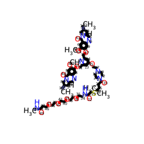 C/C=C1\C[C@H]2C=Nc3cc(OCc4cc(OCCN5CCN(C(=O)CCC(C)(C)SCC(=O)NCCOCCOCCOCCOCCC(=O)NC)CC5)cc(COc5cc6c(cc5OC)C(=O)N5C/C(=C/C)C[C@@H]5C=N6)n4)c(OC)cc3C(=O)N2C1